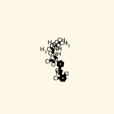 CC(C)[C@H](NC(=O)OC(C)(C)C)C(=O)NCCN(C(=O)C(Cl)Cl)c1cccc(-c2cc(-c3c(Cl)cccc3Cl)no2)c1